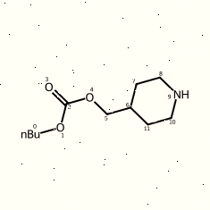 CCCCOC(=O)OCC1CCNCC1